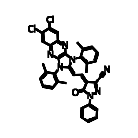 Cc1cccc(C)c1N1C(=C/C=C2\C(=O)N(c3ccccc3)N=C2C#N)N(c2c(C)cccc2C)c2nc3cc(Cl)c(Cl)cc3nc21